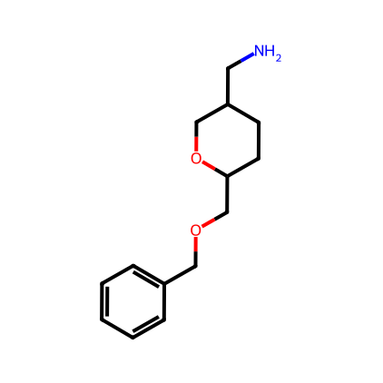 NCC1CCC(COCc2ccccc2)OC1